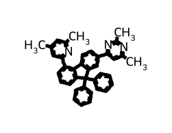 Cc1cc(C)nc(-c2cccc3c2-c2ccc(-c4cc(C)nc(C)n4)cc2C3(c2ccccc2)c2ccccc2)c1